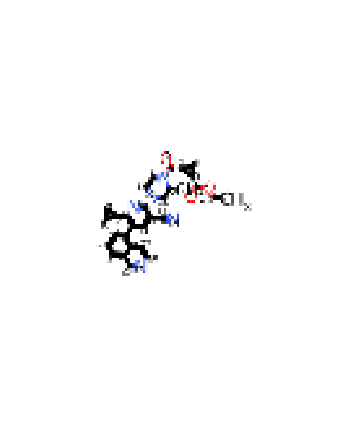 CCOC(=O)[C@@H]1C[C@H]1C(=O)N1CCN(c2nc(C3CC3)c(-c3cccc4cnccc34)cc2C#N)C[C@H]1C